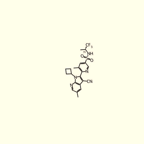 Cc1cnc2c(c1)c(C#N)c(-c1ncc(S(=O)(=O)N[C@@H](C)C(F)(F)F)cc1C)n2C1CCC1